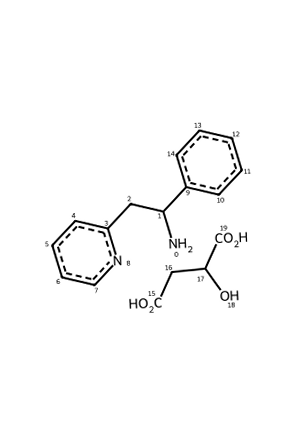 NC(Cc1ccccn1)c1ccccc1.O=C(O)CC(O)C(=O)O